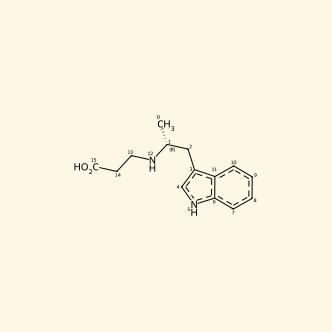 C[C@H](Cc1c[nH]c2ccccc12)NCCC(=O)O